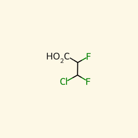 O=C(O)C(F)C(F)Cl